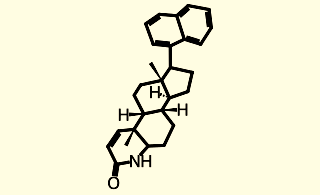 C[C@]12C=CC(=O)NC1CC[C@@H]1[C@H]2CC[C@]2(C)C(c3cccc4ccccc34)CC[C@@H]12